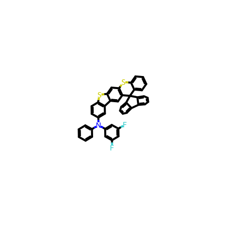 Fc1cc(F)cc(N(c2ccccc2)c2ccc3sc4cc5c(cc4c3c2)C2(c3ccccc3S5)c3ccccc3-c3ccccc32)c1